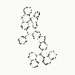 c1ccc(N(c2ccc3c(c2)C2(c4ccccc4S3)c3ccccc3-c3ccccc32)c2ccc3sc4ccc(N(c5cccc6ccccc56)c5cccc6ccccc56)cc4c3c2)cc1